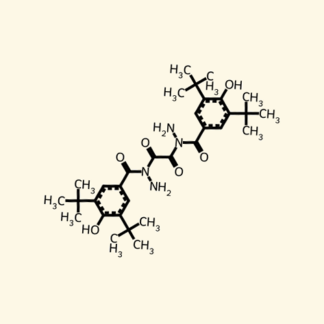 CC(C)(C)c1cc(C(=O)N(N)C(=O)C(=O)N(N)C(=O)c2cc(C(C)(C)C)c(O)c(C(C)(C)C)c2)cc(C(C)(C)C)c1O